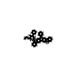 C=c1c(-c2ccccc2)nc(-n2c3ccccc3c3cc4c5cc6oc7ccccc7c6cc5n(-c5ccccc5)c4cc32)n/c1=C/C=C\C